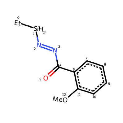 CC[SiH2]N=NC(=O)c1ccccc1OC